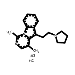 Cc1cnc(C)n2c1c(CCN1CCCC1)c1ccccc12.Cl.Cl